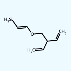 C=CC(C=C)COC=C[SiH3]